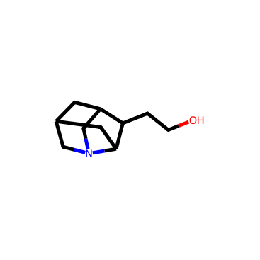 OCCC1C2CC3CC1N(C3)C2